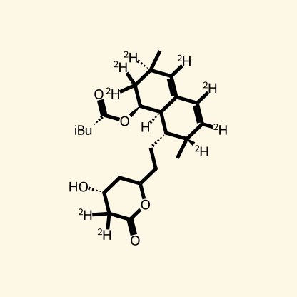 [2H]C1=C([2H])[C@]([2H])(C)[C@H](CCC2C[C@@H](O)C([2H])([2H])C(=O)O2)[C@@H]2C1=C([2H])[C@]([2H])(C)C([2H])([2H])[C@@H]2OC(=O)[C@@H](C)CC